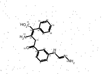 NN=CNc1cccc(C(=O)CC(N)=C(C(=O)O)c2ccccc2)c1